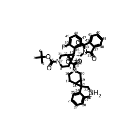 CC(C)(C)OC(=O)N1CC[C@H]2[C@@](OC(=O)N3CCC4C(C3)C4(CN)c3ccccc3F)(C1)[C@@]2(CN1C(=O)c2ccccc2C1=O)c1ccccc1F